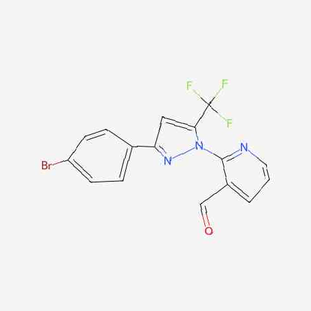 O=Cc1cccnc1-n1nc(-c2ccc(Br)cc2)cc1C(F)(F)F